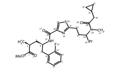 COC(=O)[C@@H](C)C[C@H](Cc1ccccc1F)NC(=O)c1csc(CCC(C(C)C)N(C)C(=O)CC2CC2)n1